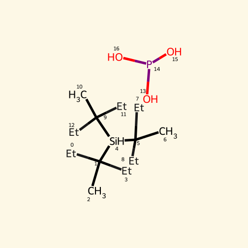 CCC(C)(CC)[SiH](C(C)(CC)CC)C(C)(CC)CC.OP(O)O